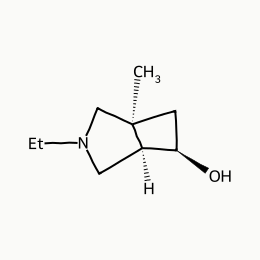 CCN1C[C@@H]2[C@H](O)C[C@]2(C)C1